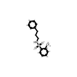 O=S(=O)(NCCCc1ccccc1)c1ccccc1C(F)(F)F